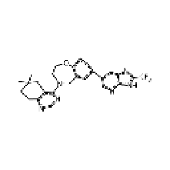 CC1(C)CCc2ncnc(N3CCOc4ccc(-c5cnc6[nH]c(C(F)(F)F)nc6c5)cc4C3)c2C1